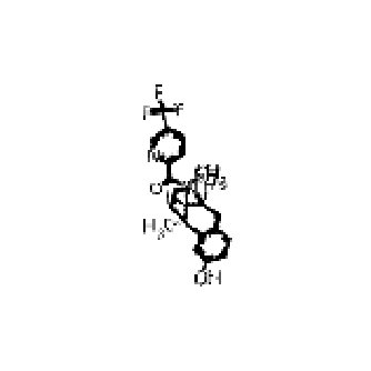 CN1CC[C@]2(C)c3cc(O)ccc3C[C@@H]1[C@H]2N(C)C(=O)c1ccc(C(F)(F)F)cn1